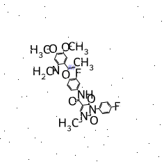 C=Nc1cc(OC)c(OC)cc1/C(=C\C)Oc1ccc(NC(=O)c2cn(CC)c(=O)n(-c3ccc(F)cc3)c2=O)cc1F